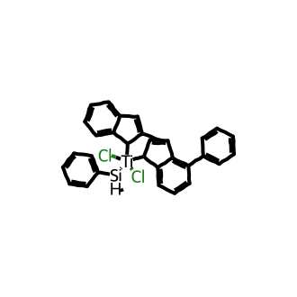 CC1=Cc2ccccc2[CH]1[Ti]([Cl])([Cl])([CH]1C=Cc2c(-c3ccccc3)cccc21)[SiH](C)c1ccccc1